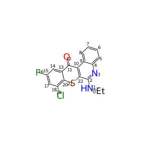 CCNc1nc2ccccc2c2c(=O)c3cc(F)cc(Cl)c3sc12